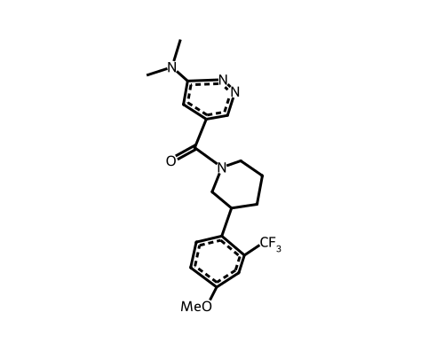 COc1ccc(C2CCCN(C(=O)c3cnnc(N(C)C)c3)C2)c(C(F)(F)F)c1